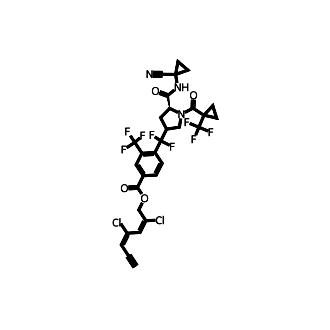 C#C/C=C(Cl)\C=C(\Cl)COC(=O)c1ccc(C(F)(F)C2C[C@@H](C(=O)NC3(C#N)CC3)N(C(=O)C3(C(F)(F)F)CC3)C2)c(C(F)(F)F)c1